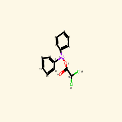 O=C(O[I+](c1ccccc1)c1ccccc1)C(Cl)Cl